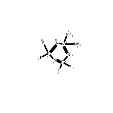 NP1(N)=NP(F)(F)=NP(F)(F)=N1